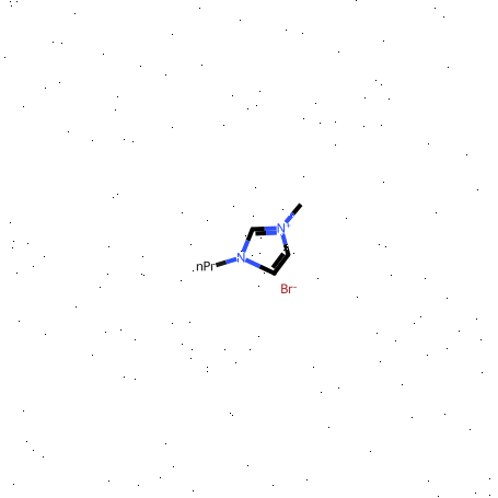 CCCn1cc[n+](C)c1.[Br-]